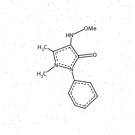 CONc1c(C)n(C)n(-c2ccccc2)c1=O